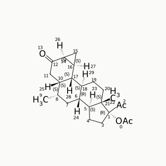 CC(=O)O[C@]1(C(C)=O)CC[C@H]2[C@@H]3C[C@H](C)[C@@H]4CC(=O)[C@H]5C[C@H]5[C@@H]4[C@H]3CC[C@@]21C